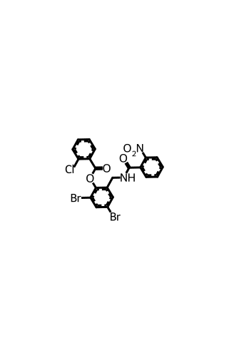 O=C(Oc1c(Br)cc(Br)cc1CNC(=O)c1ccccc1[N+](=O)[O-])c1ccccc1Cl